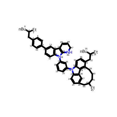 CCCCC(CC)Cc1ccc(-c2ccc3c(c2)c2c(n3-c3cccc(-n4c5ccc6cc5c5c(c(CC(CC)CCCC)ccc54)CCCC(CC)C6)c3)NCC=C2)cc1